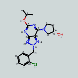 CC(C)Oc1nc(N2CC[C@H](O)C2)c2nn(Cc3ccccc3Cl)nc2n1